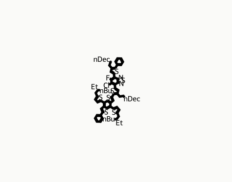 CCCCCCCCCCCCc1cc(-c2c(F)c(Cl)c(-c3cc(CCCCCCCCCCCC)c(-c4cc5c(-c6ccc(CC(CC)CCCC)s6)c6sc(-c7ccccc7)cc6c(-c6ccc(CC(CC)CCCC)s6)c5s4)s3)c3nsnc23)sc1-c1ccccc1